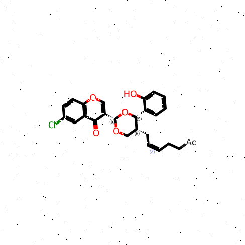 CC(=O)CC/C=C\C[C@@H]1CO[C@H](c2coc3ccc(Cl)cc3c2=O)O[C@@H]1c1ccccc1O